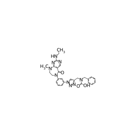 CCNc1ncc2c(n1)N(C)CCN(c1cccc(-n3cc(CN(Cc4ccccc4)C(=O)O)nn3)c1)C2=O